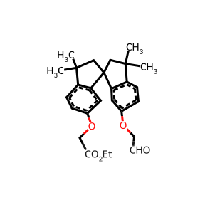 CCOC(=O)COc1ccc2c(c1)C1(CC(C)(C)c3ccc(OCC=O)cc31)CC2(C)C